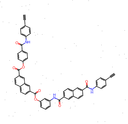 C#Cc1ccc(NC(=O)c2ccc(OC(=O)c3ccc4ccc(C(=O)Oc5cccc(NC(=O)c6ccc7cc(C(=O)Nc8ccc(C#C)cc8)ccc7c6)c5)cc4c3)cc2)cc1